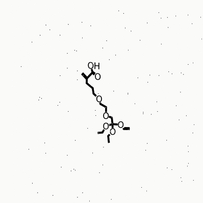 C=COC(COCCOCCCC(=C)C(=O)O)(OCC)OCC